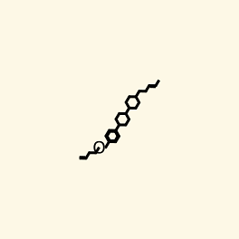 C=CCCOCc1ccc(C2CCC(C3CCC(CCC=CC)CC3)CC2)cc1